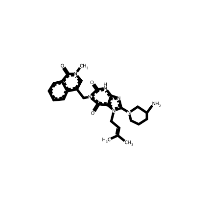 CC(C)=CCn1c(N2CCCC(N)C2)nc2[nH]c(=O)n(Cc3cn(C)c(=O)c4ccccc34)c(=O)c21